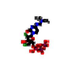 CN(C)/C=N/c1ccn(C2OC(CCl)(COP(=O)(O)OP(=O)(O)OP(=O)(O)O)C(O)C2F)c(=O)n1